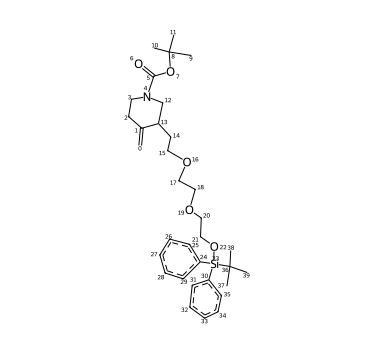 C=C1CCN(C(=O)OC(C)(C)C)CC1CCOCCOCCO[Si](c1ccccc1)(c1ccccc1)C(C)(C)C